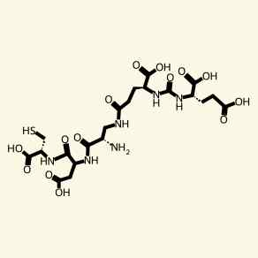 N[C@@H](CNC(=O)CC[C@H](NC(=O)N[C@@H](CCC(=O)O)C(=O)O)C(=O)O)C(=O)NC(CC(=O)O)C(=O)N[C@@H](CS)C(=O)O